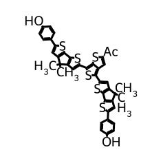 CC(=O)c1cc2c(-c3cc4c(s3)-c3sc(-c5ccc(O)cc5)cc3C4(C)C)sc(-c3cc4c(s3)-c3sc(-c5ccc(O)cc5)cc3C4(C)C)c2s1